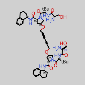 CC(C)(C)[C@H](NC(=O)/C(N)=C/O)C(=O)N1C[C@@H](OCC#CC#CCO[C@H]2C[C@@H](C(=O)N[C@@H]3CCCc4ccccc43)N(C(=O)[C@@H](NC(=O)[C@@H](N)CO)C(C)(C)C)C2)C[C@H]1C(=O)N[C@@H]1CCCc2ccccc21